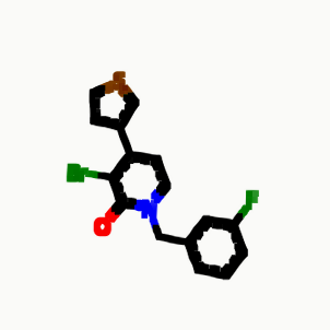 O=c1c(Br)c(-c2ccsc2)ccn1Cc1cccc(F)c1